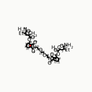 CCC(CC(C)C(=O)OCC12C=CC(O1)C1C(=O)N(CCOCCOCCN3C(=O)C4C5C=CC(COC(=O)C(C)CC(CC)C(N)=O)(O5)C4C3=O)C(=O)C12)C(N)=O